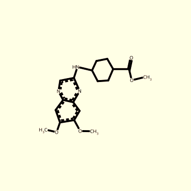 COC(=O)C1CCC(Nc2cnc3cc(OC)c(OC)cc3n2)CC1